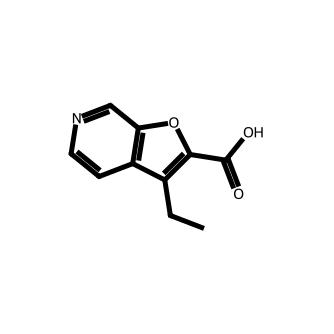 CCc1c(C(=O)O)oc2cnccc12